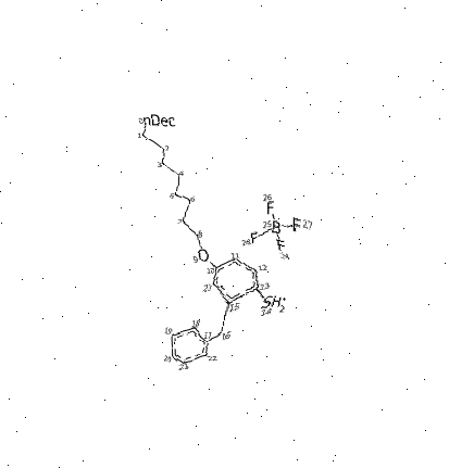 CCCCCCCCCCCCCCCCCCOc1ccc([SH2+])c(Cc2ccccc2)c1.F[B-](F)(F)F